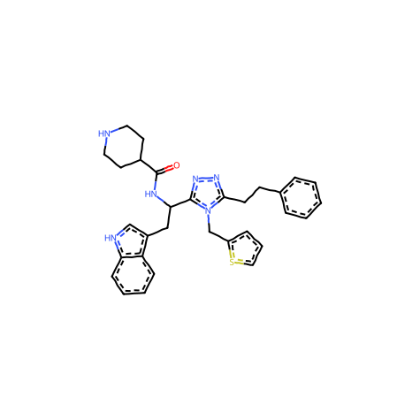 O=C(NC(Cc1c[nH]c2ccccc12)c1nnc(CCc2ccccc2)n1Cc1cccs1)C1CCNCC1